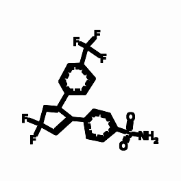 NS(=O)(=O)c1ccc(C2=CC(F)(F)C=C2c2ccc(C(F)(F)F)cc2)cc1